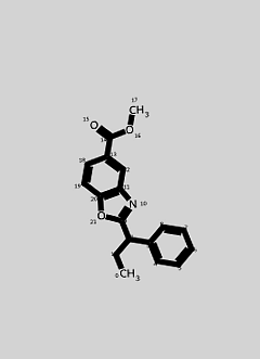 CCC(c1ccccc1)c1nc2cc(C(=O)OC)ccc2o1